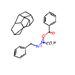 C1C2CC3C4CC5CC(C14)C(C2)C3C5.O=C(ON(NCc1ccccc1)C(=O)O)c1ccccc1